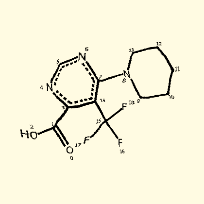 O=C(O)c1n[c]nc(N2CCCCC2)c1C(F)(F)F